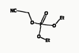 CCOP(=O)(OCC)OCC#N